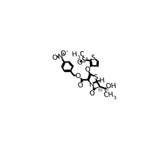 C[C@@H](O)[C@H]1C(=O)N2C(C(=O)OCc3ccc([N+](=O)[O-])cc3)=C(Oc3ccsc3[S+](C)[O-])S[C@H]12